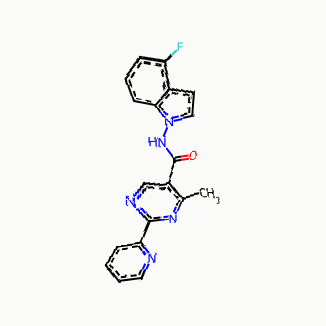 Cc1nc(-c2ccccn2)ncc1C(=O)Nn1ccc2c(F)cccc21